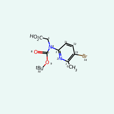 Cc1nc(N(CC(=O)O)C(=O)OC(C)(C)C)ccc1Br